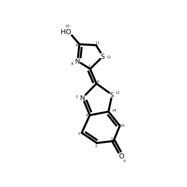 O=C1C=Cc2n/c(=C3\N=C(O)CS3)sc2=C1